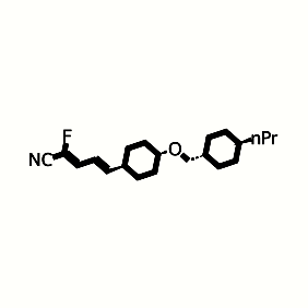 CCC[C@H]1CC[C@H](CO[C@H]2CC[C@H](C=CC=C(F)C#N)CC2)CC1